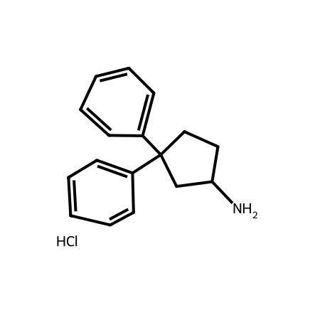 Cl.NC1CCC(c2ccccc2)(c2ccccc2)C1